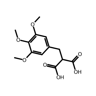 COc1cc(CC(C(=O)O)C(=O)O)cc(OC)c1OC